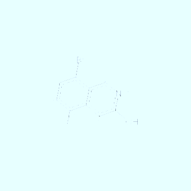 Oc1cc2c(I)ccc(Br)c2cn1